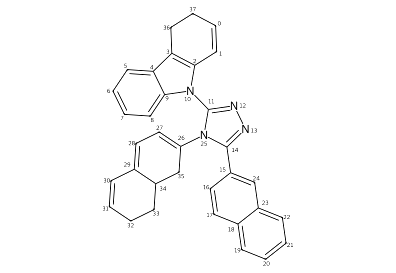 C1=Cc2c(c3ccccc3n2-c2nnc(-c3ccc4ccccc4c3)n2C2=CC=C3C=CCCC3C2)CC1